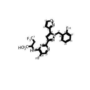 O=C(O)C(CC(F)(F)F)Nc1nc(-c2cc(-c3ccon3)n(Cc3ccccc3F)n2)ncc1F